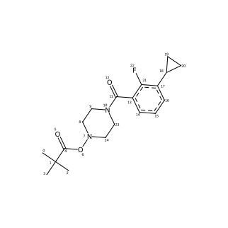 CC(C)(C)C(=O)ON1CCN(C(=O)c2cccc(C3CC3)c2F)CC1